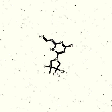 CC1(C)CN(C2=CC(Cl)=N/C(=C/C=N)N2)CC1(F)F